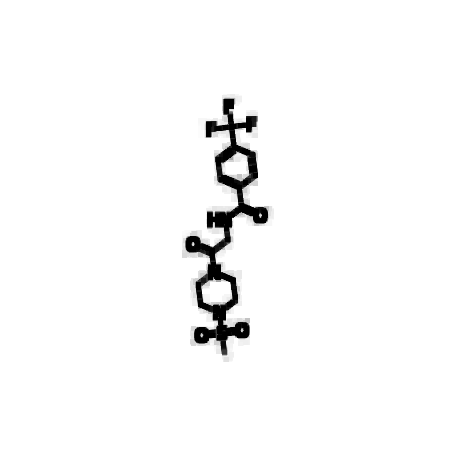 CS(=O)(=O)N1CCN(C(=O)CNC(=O)c2ccc(C(F)(F)F)cc2)CC1